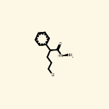 NNC(=O)C(CCCCl)c1ccccc1